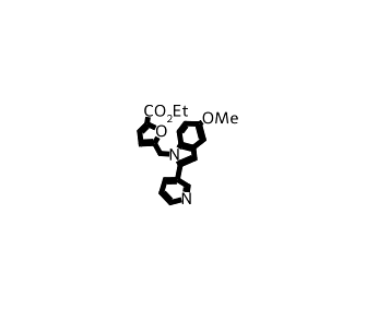 CCOC(=O)c1ccc(Cn2c(-c3cccnc3)cc3cc(OC)ccc32)o1